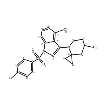 Cc1ccc(S(=O)(=O)n2nc(N3CCC(F)CC34CC4)c3c(Cl)cccc32)cc1